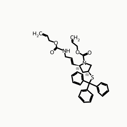 C=CCOC(=O)NCC=C[C@@H]1C[C@H](SC(c2ccccc2)(c2ccccc2)c2ccccc2)CN1C(=O)OCC=C